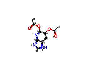 CC(=O)Oc1cc2[nH]cnc2nc1OC(C)=O